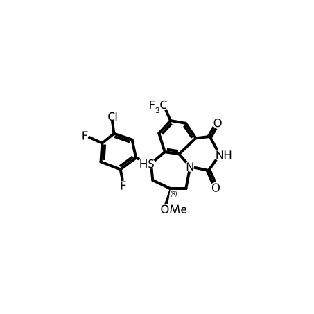 CO[C@@H]1Cn2c(=O)[nH]c(=O)c3cc(C(F)(F)F)cc(c32)[SH](c2cc(Cl)c(F)cc2F)C1